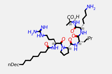 CCCCCCCCCCCCCCCCCC(=O)N[C@@H](CCCNC(=N)N)C(=O)N1CCC[C@H]1C(=O)N[C@@H](CC(C)C)C(=O)N[C@@H](CCCCN)C(=O)N[C@@H](C)C(=O)O